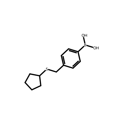 OB(O)c1ccc(CSC2CCCC2)cc1